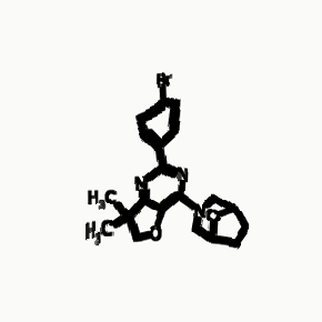 CC1(C)COc2c(N3CC4CCC(C3)O4)nc(-c3ccc(Br)cc3)nc21